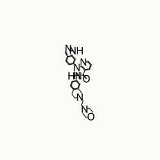 O=C(Nc1ccc2c(c1)CN(CCN1CCOCC1)CC2)c1cccnc1Nc1ccc2cn[nH]c2c1